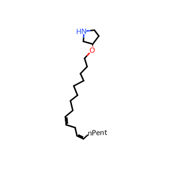 CCCCC/C=C\C/C=C\CCCCCCCCO[C@H]1CCNC1